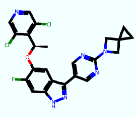 C[C@@H](Oc1cc2c(-c3cnc(N4CC5(CC5)C4)nc3)n[nH]c2cc1F)c1c(Cl)cncc1Cl